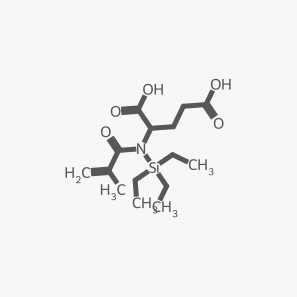 C=C(C)C(=O)N(C(CCC(=O)O)C(=O)O)[Si](CC)(CC)CC